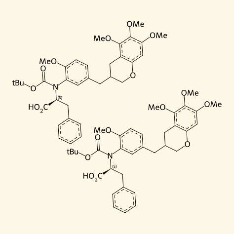 COc1ccc(CC2COc3cc(OC)c(OC)c(OC)c3C2)cc1N(C(=O)OC(C)(C)C)[C@@H](Cc1ccccc1)C(=O)O.COc1ccc(CC2COc3cc(OC)c(OC)c(OC)c3C2)cc1N(C(=O)OC(C)(C)C)[C@@H](Cc1ccccc1)C(=O)O